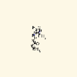 C/C=C(C)\N=N/CCC(=O)OC